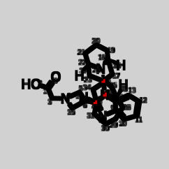 O=C(O)CN1CC(c2nc3ccccc3n2C2C[C@H]3CCC[C@@H](C2)N3[C@@H]2C[C@@H]3CCCC[C@@H](C3)C2)C1